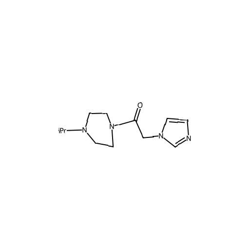 CC(C)N1CCN(C(=O)Cn2ccnc2)CC1